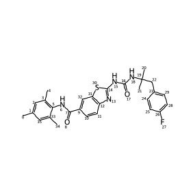 Cc1cc(C)c(NC(=O)c2ccc3nc(NC(=O)NC(C)(C)Cc4ccc(F)cc4)sc3c2)c(C)c1